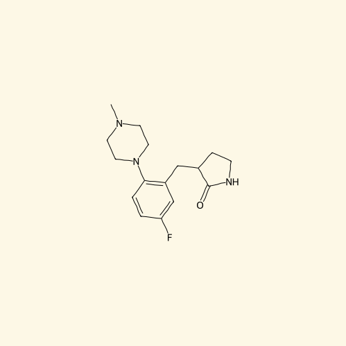 CN1CCN(c2ccc(F)cc2CC2CCNC2=O)CC1